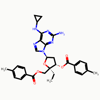 CC[C@]1(COC(=O)c2ccc(C)cc2)O[C@@H](n2cnc3c(NC4CC4)nc(N)nc32)C[C@@H]1OC(=O)c1ccc(C)cc1